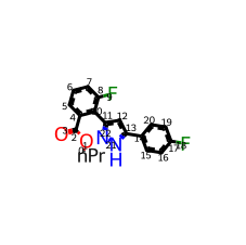 CCCOC(=O)c1cccc(F)c1-c1cc(-c2ccc(F)cc2)[nH]n1